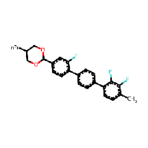 CCCC1COC(c2ccc(-c3ccc(-c4ccc(C)c(F)c4F)cc3)c(F)c2)OC1